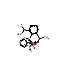 CC(C)c1cccc(C(C)C)c1[N](C)[Ti]([CH3])([CH3])([CH3])([CH3])([CH3])([Cl])([Cl])[CH]1C=CC=C1